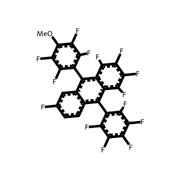 COc1c(F)c(F)c(-c2c3cc(F)ccc3c(-c3c(F)c(F)c(F)c(F)c3F)c3c(F)c(F)c(F)c(F)c23)c(F)c1F